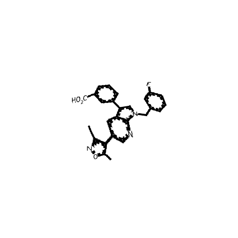 Cc1noc(C)c1-c1cnc2c(c1)c(-c1cccc(C(=O)O)c1)cn2Cc1cccc(F)c1